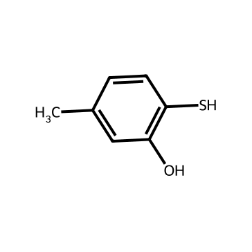 Cc1ccc(S)c(O)c1